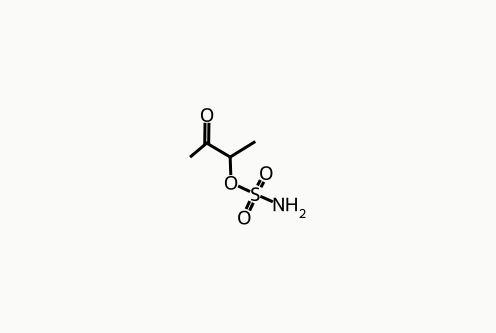 CC(=O)C(C)OS(N)(=O)=O